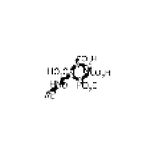 CC(=O)COCCNC(=O)CCC(C(=O)O)N1CCN(CC(=O)O)CCN(CC(=O)O)CCN(CC(=O)O)CC1